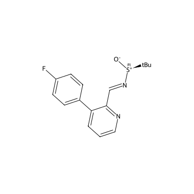 CC(C)(C)[S@+]([O-])N=Cc1ncccc1-c1ccc(F)cc1